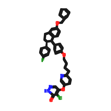 O=c1[nH]ncc(Oc2ccc(CCCCOc3ccc(C4c5ccc(OCc6ccccc6)cc5CC[C@@H]4c4ccc(F)cc4)cc3)nc2)c1Cl